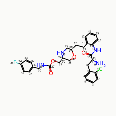 N[C@@H](Cc1ccccc1Cl)C(=O)Nc1ccccc1CC[C@@H]1CN[C@H](COC(=O)NCc2ccc(F)cc2)CO1